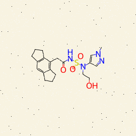 Cn1cc(N(CCO)S(=O)(=O)NC(=O)Cc2c3c(cc4c2CCC4)CCC3)cn1